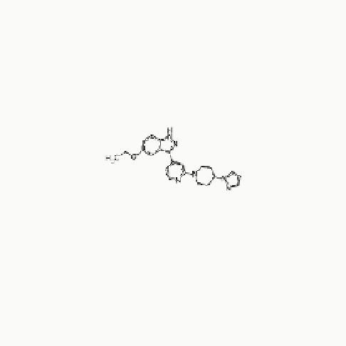 CCOc1ccc2[nH]nc(-c3ccnc(N4CCC(n5cccn5)CC4)c3)c2c1